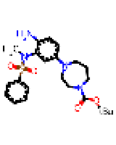 CN(c1cc(N2CCCN(C(=O)OC(C)(C)C)CC2)ccc1N)S(=O)(=O)c1ccccc1